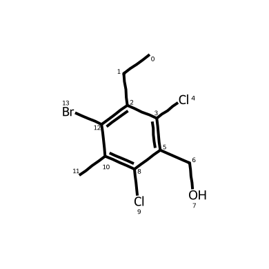 CCc1c(Cl)c(CO)c(Cl)c(C)c1Br